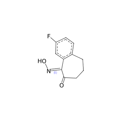 O=C1CCCc2ccc(F)cc2/C1=N\O